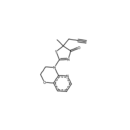 C#CCC1(C)SC(N2CCOc3cccnc32)=NC1=O